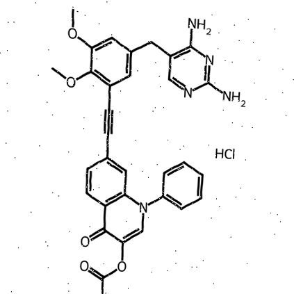 COc1cc(Cc2cnc(N)nc2N)cc(C#Cc2ccc3c(=O)c(OC(=O)O)cn(-c4ccccc4)c3c2)c1OC.Cl